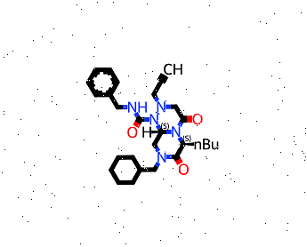 C#CCN1CC(=O)N2[C@@H](CCCC)C(=O)N(CC3CCCCC3)C[C@@H]2N1C(=O)NCc1ccccc1